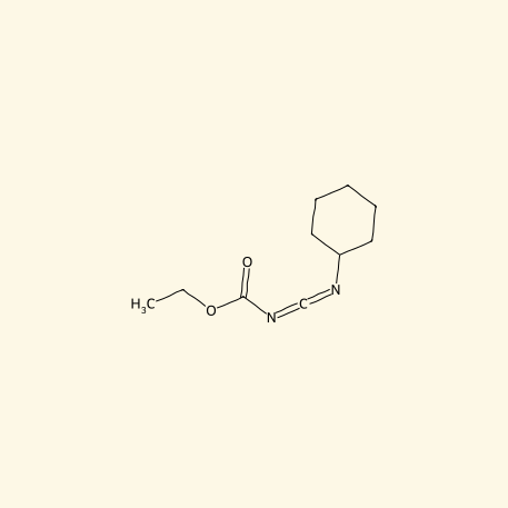 CCOC(=O)N=C=NC1CCCCC1